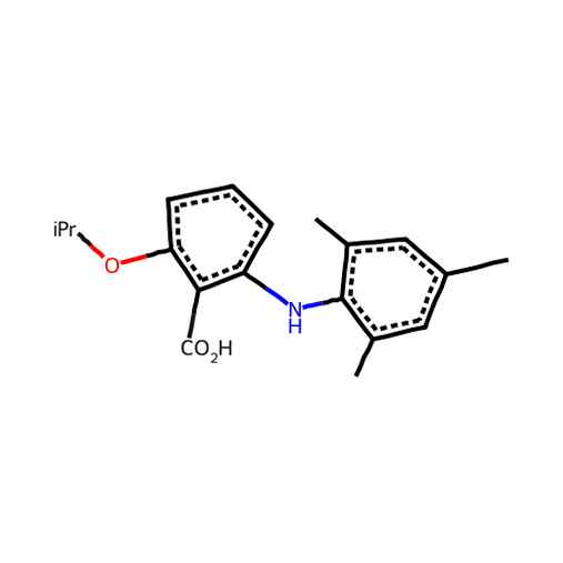 Cc1cc(C)c(Nc2cccc(OC(C)C)c2C(=O)O)c(C)c1